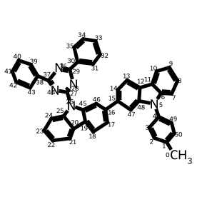 Cc1ccc(-n2c3ccccc3c3ccc(-c4ccc5c6ccccc6n(-c6nc(-c7ccccc7)nc(-c7ccccc7)n6)c5c4)cc32)cc1